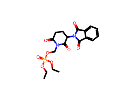 CCOP(=O)(OCC)OCN1C(=O)CCC(N2C(=O)c3ccccc3C2=O)C1=O